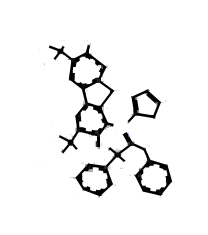 Cc1cc2c(cc1C(C)(C)C)-c1cc(C(C)(C)C)c(C)[c](/[Zr+2]([C]3=CC=CC3)=[C](/Cc3ccccc3)C(C)(C)c3ccccc3)c1C2.[Cl-].[Cl-]